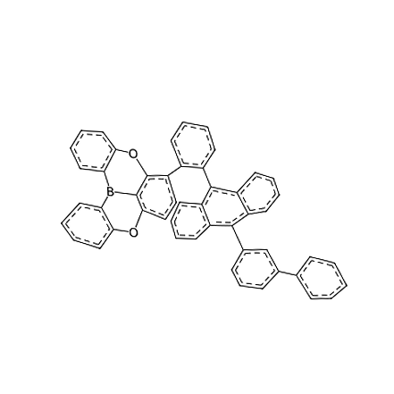 c1ccc(-c2cccc(-c3c4ccccc4c(-c4ccccc4-c4ccc5c6c4Oc4ccccc4B6c4ccccc4O5)c4ccccc34)c2)cc1